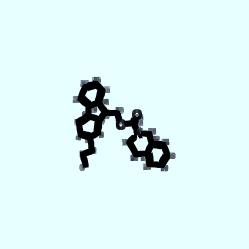 CCCc1ccc2c(c1)C(COC(=O)N1CCc3ccccc3C1)c1ccccc1-2